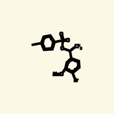 COc1cc(C(OS(=O)(=O)c2ccc(C)cc2)C(F)(F)F)ccc1Br